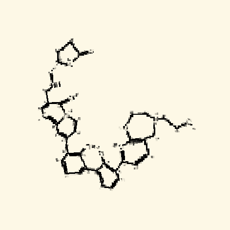 O=C1CC[C@@H](CNCc2cnc3cc(-c4cccc(-c5cccc(-c6ccc7c(n6)OCCN(CCO)C7)c5Cl)c4Cl)ccn3c2=O)N1